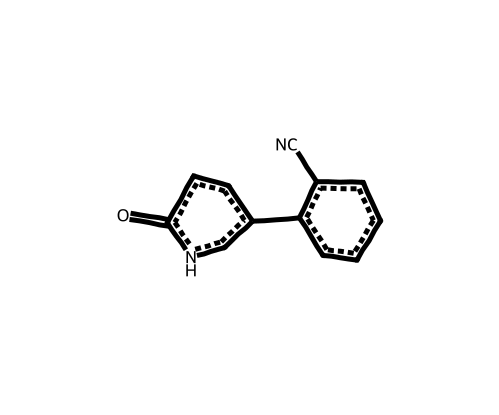 N#Cc1ccccc1-c1ccc(=O)[nH]c1